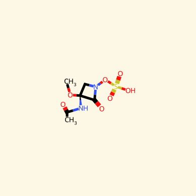 CO[C@]1(NC(C)=O)CN(OS(=O)(=O)O)C1=O